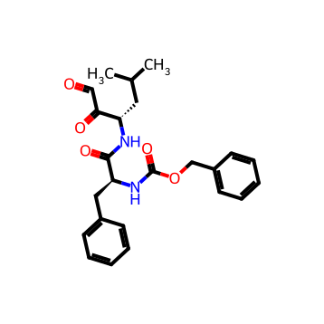 CC(C)C[C@H](NC(=O)[C@H](Cc1ccccc1)NC(=O)OCc1ccccc1)C(=O)C=O